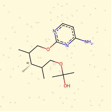 CC(COc1nccc(N)n1)[C@@H](C)C(C)COC(C)(C)O